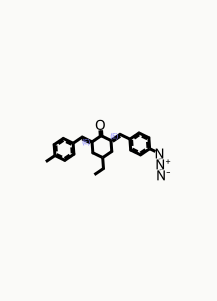 CCC1C/C(=C\c2ccc(C)cc2)C(=O)/C(=C/c2ccc(N=[N+]=[N-])cc2)C1